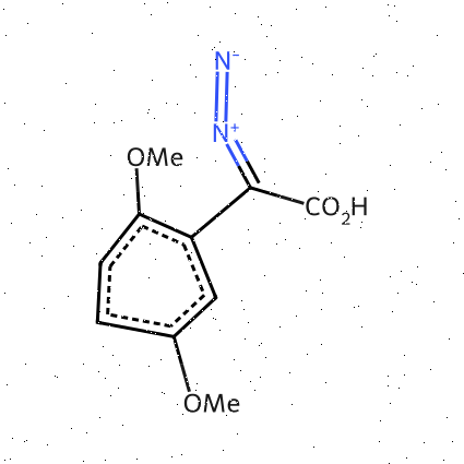 COc1ccc(OC)c(C(=[N+]=[N-])C(=O)O)c1